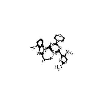 COc1cccc2c1nc(C(F)F)n2-c1nc(-c2nc(N)ncc2N)nc(N2CCOCC2)n1